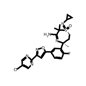 CC1(C)C(N)=N[C@](C)(c2cc(-c3cc(-c4ncc(Cl)cn4)no3)ccc2F)CC[S@@]1(=O)=NC1CC1